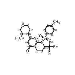 Cc1ccc(S(=O)(=O)N2c3nc(N4CCOCC4C)cc(=O)n3CCC2C(F)(F)F)cc1